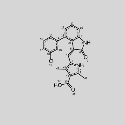 Cc1[nH]c(/C=C2\C(=O)Nc3cccc(-c4cccc(Cl)c4)c32)c(C)c1C(=O)O